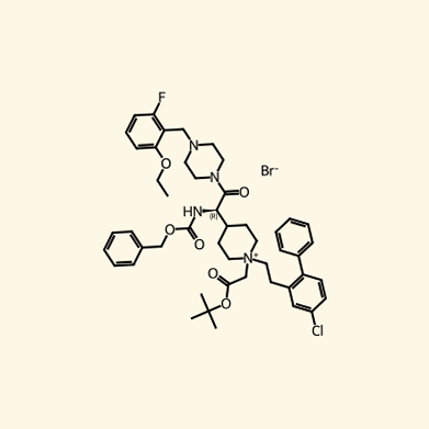 CCOc1cccc(F)c1CN1CCN(C(=O)[C@H](NC(=O)OCc2ccccc2)C2CC[N+](CCc3cc(Cl)ccc3-c3ccccc3)(CC(=O)OC(C)(C)C)CC2)CC1.[Br-]